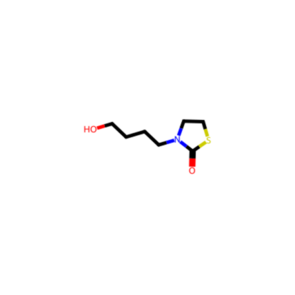 O=C1SCCN1CCCCO